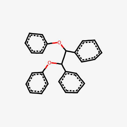 c1ccc(OC(c2ccccc2)C(Oc2ccccc2)c2ccccc2)cc1